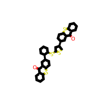 O=c1c2ccccc2sc2ccc(-c3csc(Sc4ccccc4-c4ccc5sc6ccccc6c(=O)c5c4)c3)cc12